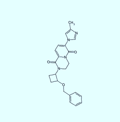 Cc1cn(-c2ccc3n(c2=O)CCN(C2CCC2OCc2ccccc2)C3=O)cn1